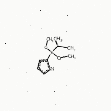 CO[Si](OC)(c1ccc[nH]1)C(C)C